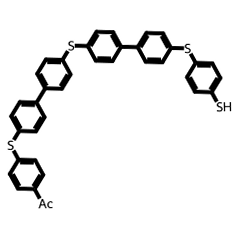 CC(=O)c1ccc(Sc2ccc(-c3ccc(Sc4ccc(-c5ccc(Sc6ccc(S)cc6)cc5)cc4)cc3)cc2)cc1